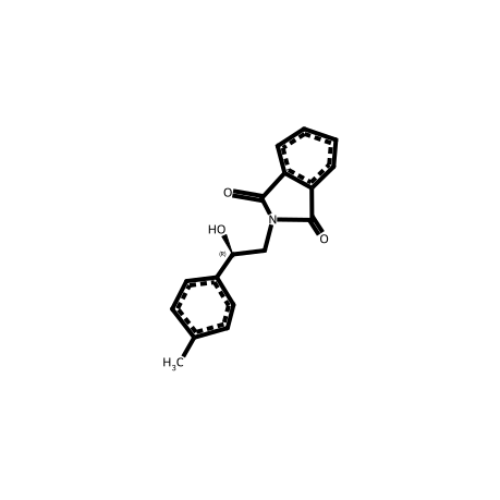 Cc1ccc([C@@H](O)CN2C(=O)c3ccccc3C2=O)cc1